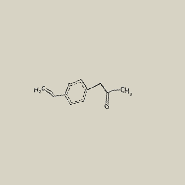 C=Cc1ccc(CC(C)=O)cc1